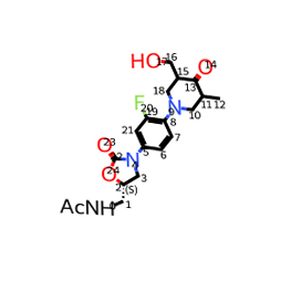 CC(=O)NC[C@H]1CN(c2ccc(N3CC(C)C(=O)C(CO)C3)c(F)c2)C(=O)O1